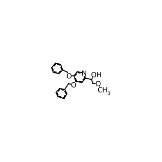 COCC(O)c1cc(OCc2ccccc2)c(OCc2ccccc2)cn1